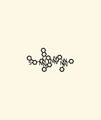 c1ccc(-c2nc(-c3ccccc3)nc(-c3cccc4nc(-n5c6ccccc6c6c5ccc5c7ccccc7n(-c7nc(-c8ccc9ccccc9c8)cc(-c8ccc9sc%10ccccc%10c9c8)n7)c56)ncc34)n2)cc1